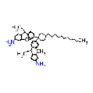 CCCCCCCCCCCC1CCC(c2ccc(C(CC)c3ccc(N)cc3C)cc2)(c2ccc(C(CC)c3ccc(N)cc3C)cc2)CC1